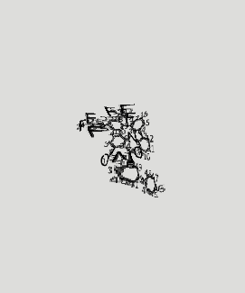 O=C1c2cccc(-n3c4ccccc4c4cccc(-c5ccc(C(F)(F)F)cc5C(F)(F)F)c43)c2C(=O)N1c1cccc(-c2ccccc2)c1